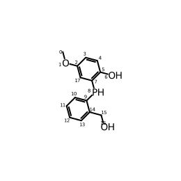 COc1ccc(O)c(Pc2ccccc2CO)c1